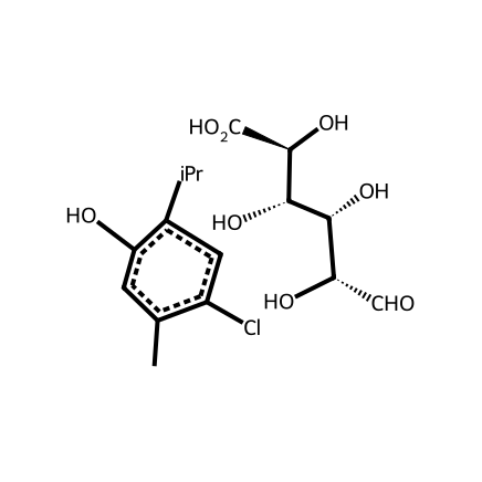 Cc1cc(O)c(C(C)C)cc1Cl.O=C[C@H](O)[C@@H](O)[C@H](O)[C@H](O)C(=O)O